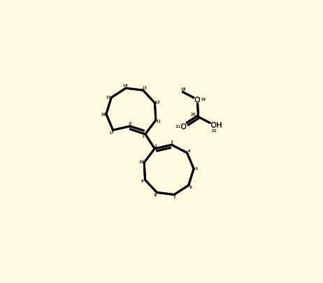 C1=C(\C2=C\CCCCCCC2)CCCCCCC/1.COC(=O)O